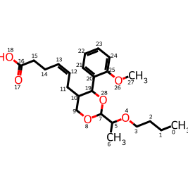 CCCCOC(C)C1OCC(C/C=C\CCC(=O)O)C(c2ccccc2OC)O1